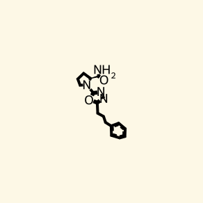 NC(=O)[C@@H]1CCCN1c1nnc(CCCc2ccccc2)o1